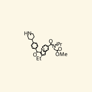 CCc1cc2cc(C(=O)N(CC(=O)OC)C(C)C)ccn2c1C(=O)c1ccc(C2CCNCC2)cc1